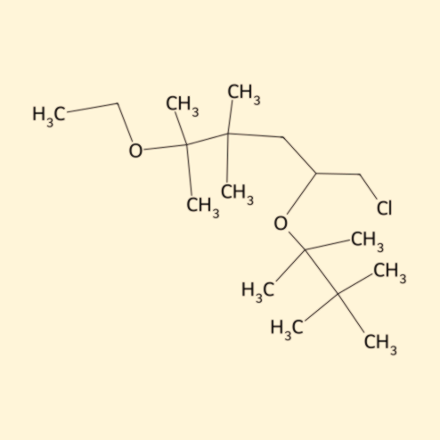 CCOC(C)(C)C(C)(C)CC(CCl)OC(C)(C)C(C)(C)C